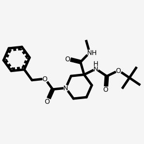 CNC(=O)C1(NC(=O)OC(C)(C)C)CCCN(C(=O)OCc2ccccc2)C1